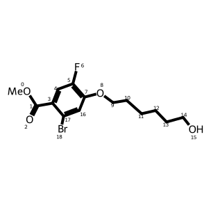 COC(=O)c1cc(F)c(OCCCCCCO)cc1Br